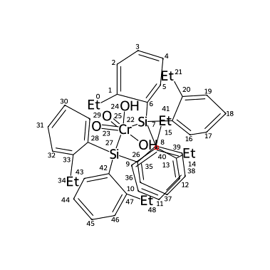 CCc1ccccc1[Si](c1ccccc1CC)(c1ccccc1CC)[Cr](=[O])(=[O])([OH])([OH])[Si](c1ccccc1CC)(c1ccccc1CC)c1ccccc1CC